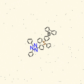 c1ccc(-c2nc(-c3ccccc3)nc(-c3cccc(S(c4ccccc4)(c4ccccc4)c4ccc(B5c6ccccc6-c6ccccc65)cc4)c3)n2)cc1